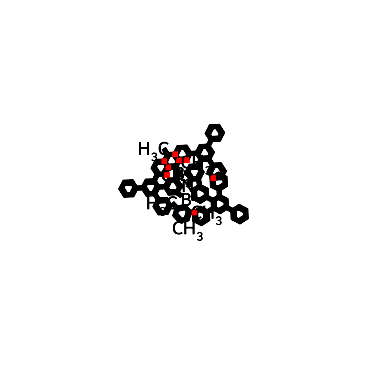 Cc1cc(C)c(B2c3cc(-c4c(-c5ccccc5)cc(-c5ccccc5)cc4-c4ccccc4)cc4c3-n3c5c2cc(-c2c(-c6ccccc6)cc(-c6ccccc6)cc2-c2ccccc2)cc5c2cc(-c5c(-c6ccccc6)cc(-c6ccccc6)cc5-c5ccccc5)cc(c23)B4c2c(C)cc(C)cc2C)c(C)c1